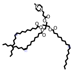 CCCCCCCC/C=C\CCCCCCCC(=O)OCC(COC(=O)CCCCCCC/C=C\CCCCCCCC)(COC(=O)CCCCCCC/C=C\CCCCCCCC)COC(=O)CCN1CCN(C)CC1